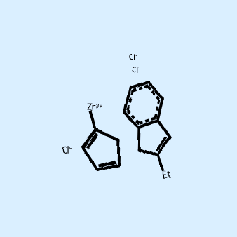 CCC1=Cc2ccccc2C1.[Cl-].[Cl-].[Cl-].[Zr+3][C]1=CC=CC1